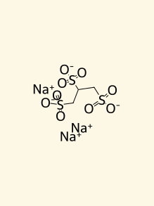 O=S(=O)([O-])CC(CS(=O)(=O)[O-])S(=O)(=O)[O-].[Na+].[Na+].[Na+]